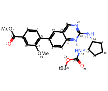 COC(=O)c1ccc(-c2ccc3nc(N[C@@H]4CCC[C@@H]4NC(=O)OC(C)(C)C)ncc3c2)c(OC)c1